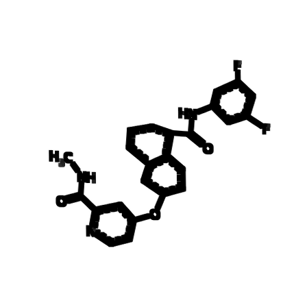 CNC(=O)c1cc(Oc2ccc3c(C(=O)Nc4cc(F)cc(F)c4)cccc3c2)ccn1